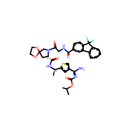 CC(C)OC(=O)/N=C(/N)c1csc([C@@H](C)NC(=O)[C@@H]2CC3(CN2C(=O)CNC(=O)c2ccc4c(c2)-c2ccccc2C4(F)F)OCCO3)c1